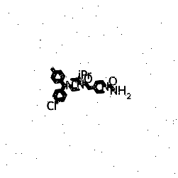 Cc1ccc(C(c2ccc(Cl)cc2)N2CCN(C(=O)CC3CCN(C(N)=O)CC3)[C@@H](C(C)C)C2)cc1